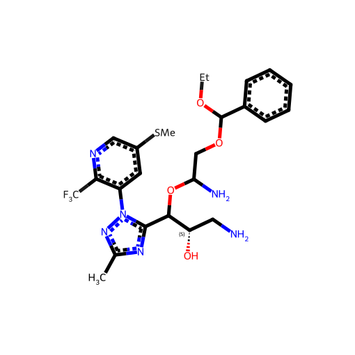 CCOC(OCC(N)OC(c1nc(C)nn1-c1cc(SC)cnc1C(F)(F)F)[C@@H](O)CN)c1ccccc1